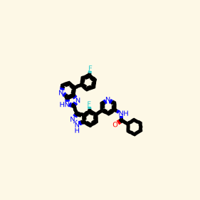 O=C(Nc1cncc(-c2ccc3[nH]nc(-c4nc5c(-c6cccc(F)c6)ccnc5[nH]4)c3c2F)c1)C1CCCCC1